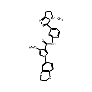 COc1nn(-c2ccc3c(c2)OCCO3)cc1C(=O)Nc1cccc(-c2nnc3n2[C@@H](C)CC3)n1